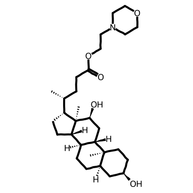 C[C@H](CCC(=O)OCCN1CCOCC1)[C@H]1CC[C@H]2[C@@H]3CC[C@@H]4C[C@H](O)CC[C@]4(C)[C@H]3C[C@H](O)[C@]12C